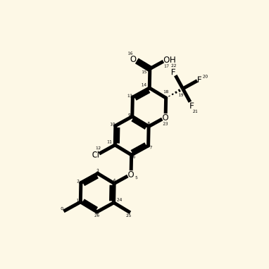 Cc1ccc(Oc2cc3c(cc2Cl)C=C(C(=O)O)[C@H](C(F)(F)F)O3)c(C)c1